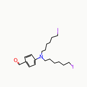 O=Cc1ccc(N(CCCCCCI)CCCCCCI)cc1